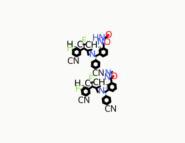 CC(C)(F)[C@H](c1cc(F)cc(C#N)c1)C1CN([C@@H](c2ccc(C#N)cc2)c2cccc(-c3n[nH]c(=O)o3)c2)C1.CC(C)(F)[C@H](c1cc(F)cc(C#N)c1)C1CN([C@@H](c2ccc(C#N)cc2)c2cccc(-c3nnco3)c2)C1